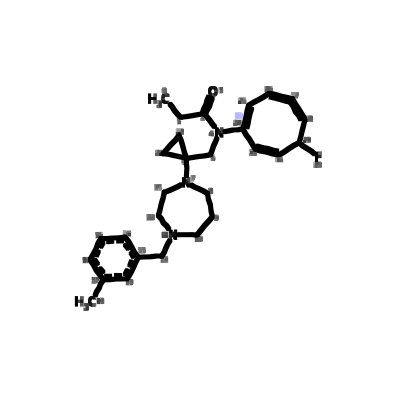 CCC(=O)N(CC1(N2CCCN(Cc3cccc(C)c3)CC2)CC1)/C1=C/C=C=CC(F)C=C1